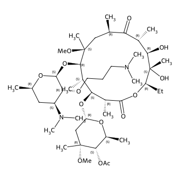 CC[C@H]1OC(=O)[C@H](C)[C@@H](O[C@H]2C[C@@](C)(OC)[C@@H](OC(C)=O)[C@H](C)O2)[C@H](C)[C@@H](O[C@@H]2O[C@H](C)C[C@H](N(C)C)[C@H]2OCCCN(C)C)[C@@](C)(OC)C[C@@H](C)C(=O)[C@H](C)[C@@H](O)[C@]1(C)O